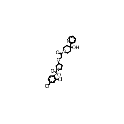 O=C(COC1CCN(S(=O)(=O)c2ccc(Cl)cc2Cl)C1)N1CCC(O)(c2ccccn2)CC1